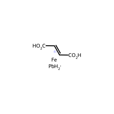 O=C(O)/C=C/C(=O)O.[Fe].[PbH2]